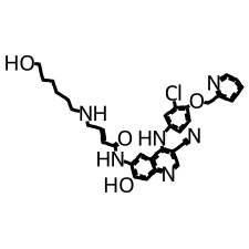 N#Cc1cnc2cc(O)c(NC(=O)/C=C/CNCCCCCCO)cc2c1Nc1ccc(OCc2ccccn2)c(Cl)c1